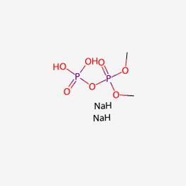 COP(=O)(OC)OP(=O)(O)O.[NaH].[NaH]